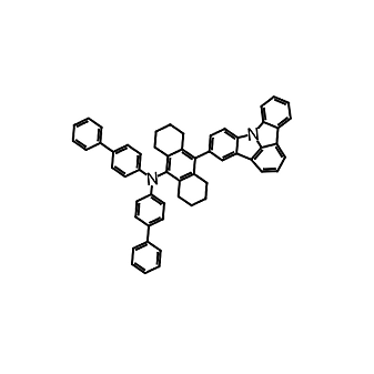 c1ccc(-c2ccc(N(c3ccc(-c4ccccc4)cc3)c3c4c(c(-c5ccc6c(c5)c5cccc7c8ccccc8n6c75)c5c3CCCC5)CCCC4)cc2)cc1